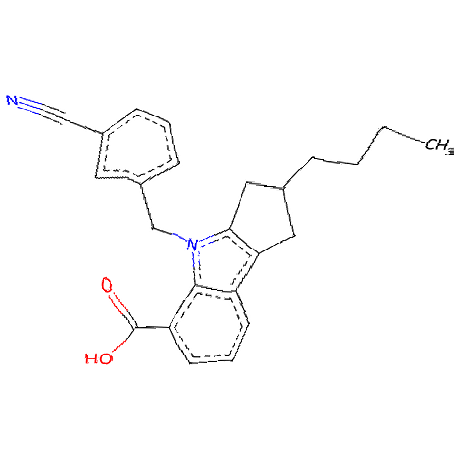 CCCCC1Cc2c(n(Cc3cccc(C#N)c3)c3c(C(=O)O)cccc23)C1